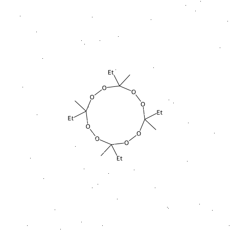 CCC1(C)OOC(C)(CC)OOC(C)(CC)OOC(C)(CC)OO1